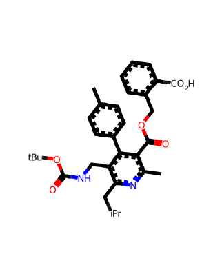 Cc1ccc(-c2c(CNC(=O)OC(C)(C)C)c(CC(C)C)nc(C)c2C(=O)OCc2ccccc2C(=O)O)cc1